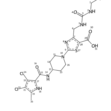 CCNC(=O)NCc1nc(N2CCC(NC(=O)c3[nH]c(C)c(Cl)c3Cl)CC2)sc1C(=O)O